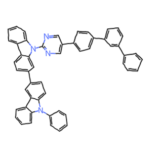 c1ccc(-c2cccc(-c3ccc(-c4cnc(-n5c6ccccc6c6ccc(-c7ccc8c(c7)c7ccccc7n8-c7ccccc7)cc65)nc4)cc3)c2)cc1